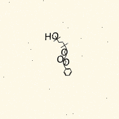 CC(C)(O)CCC(C)(C)COCC(=O)OCc1ccccc1